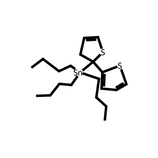 CCC[CH2][Sn]([CH2]CCC)([CH2]CCC)[C]1(c2cccs2)CC=CS1